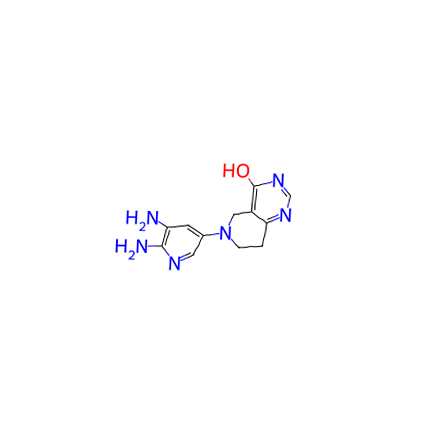 Nc1cc(N2CCc3ncnc(O)c3C2)cnc1N